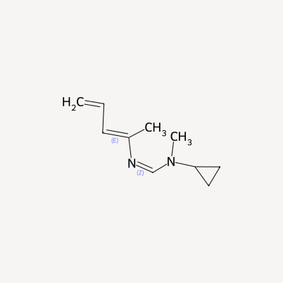 C=C/C=C(C)/N=C\N(C)C1CC1